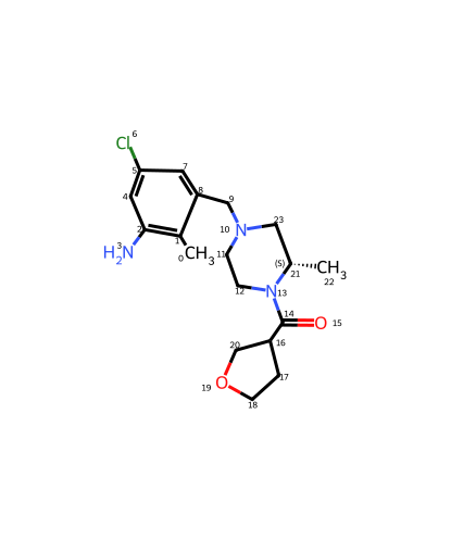 Cc1c(N)cc(Cl)cc1CN1CCN(C(=O)C2CCOC2)[C@@H](C)C1